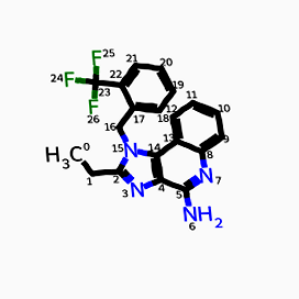 CCc1nc2c(N)nc3ccccc3c2n1Cc1ccccc1C(F)(F)F